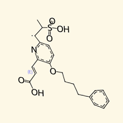 CC([CH]c1ccc(OCCCCc2ccccc2)c(/C=C/C(=O)O)n1)S(=O)(=O)O